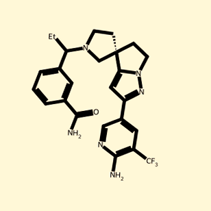 CCC(c1cccc(C(N)=O)c1)N1CC[C@@]2(CCn3nc(-c4cnc(N)c(C(F)(F)F)c4)cc32)C1